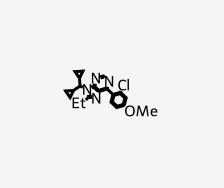 CCc1nc2c(-c3ccc(OC)cc3Cl)ncnc2n1C(C1CC1)C1CC1